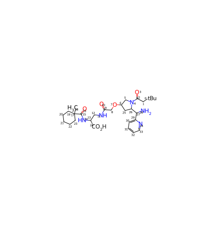 CC(C)(C)CC(=O)N1CC(OCC(=O)NCC(NC(=O)C2(C)CCCCC2)C(=O)O)CC1C(N)c1ccccn1